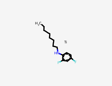 CCCCCCCCNc1ccc(F)[c]c1F.[Ti]